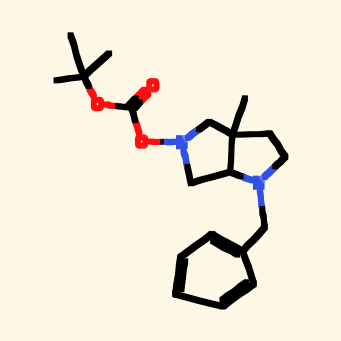 CC(C)(C)OC(=O)ON1CC2N(Cc3ccccc3)CCC2(C)C1